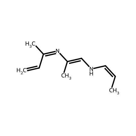 C=C/C(C)=N\C(C)=C\N/C=C\C